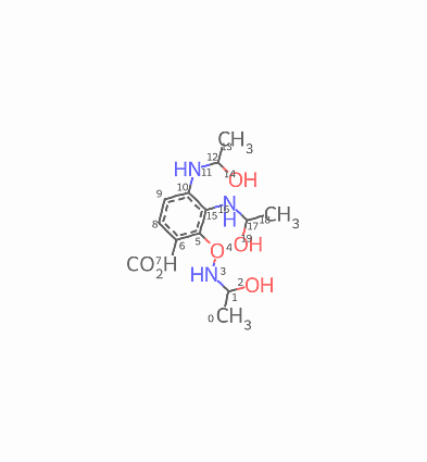 CC(O)NOc1c(C(=O)O)ccc(NC(C)O)c1NC(C)O